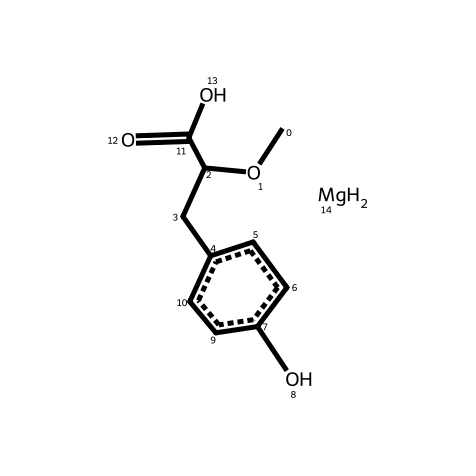 COC(Cc1ccc(O)cc1)C(=O)O.[MgH2]